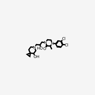 CC1C(=O)N(CC(O)CN2CCC3(CC3)C(O)C2)CCN1c1ccc(Cl)c(Cl)c1